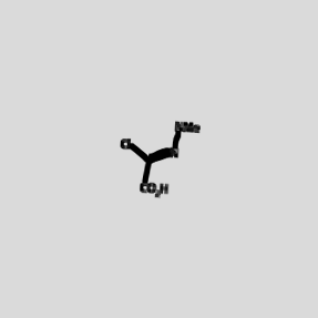 CNN=C(Cl)C(=O)O